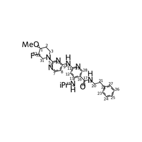 CO[C@H]1CCN(c2nccc(Nc3cc(NC(C)C)c(C(=O)NCCc4ccccc4)cn3)n2)C[C@H]1F